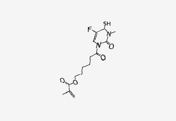 C=C(C)C(=O)OCCCCCC(=O)N1C=C(F)C(S)N(C)C1=O